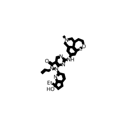 C=CCn1c(=O)c2cnc(Nc3cc4c5c(c3)CN(C)CC5CCOC4)nc2n1-c1ccc2c(n1)C(O)(CC)CC2